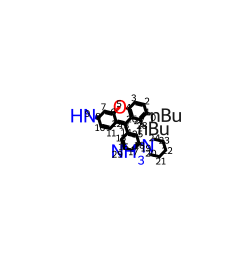 CCCCc1ccc2oc3cc(=N)ccc-3c(-c3cccc(N4CCCCC4)c3)c2c1CCCC.N